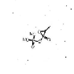 CC1OP1(=O)OP(=O)(O)O